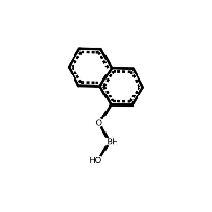 OBOc1cccc2ccccc12